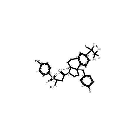 CC(CC(=O)N1CC[C@@]2(Cc3ccc(F)cc3)c3ccc(C(C)(F)C(F)(F)F)cc3CC[C@@H]12)S(=O)(=O)c1ccc(Cl)cc1